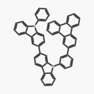 c1ccc(-n2c3ccccc3c3cc(-c4ccc5c6ccccc6n(-c6cccc(-c7ccc8c9ccccc9c9ccccc9c8c7)c6)c5c4)ccc32)cc1